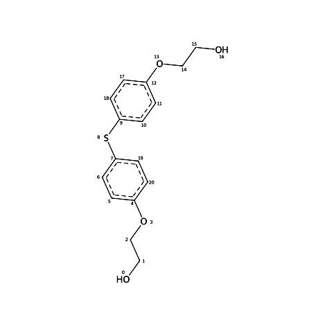 OCCOc1ccc(Sc2ccc(OCCO)cc2)cc1